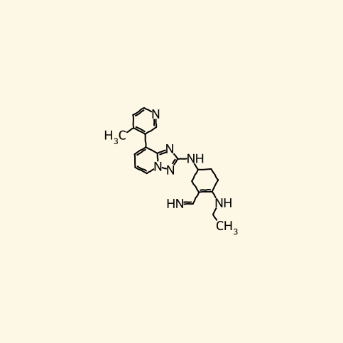 CCNC1=C(C=N)CC(Nc2nc3c(-c4cnccc4C)cccn3n2)CC1